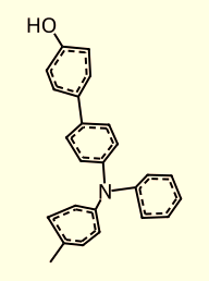 Cc1ccc(N(c2ccccc2)c2ccc(-c3ccc(O)cc3)cc2)cc1